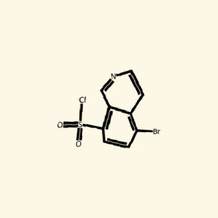 O=S(=O)(Cl)c1ccc(Br)c2ccncc12